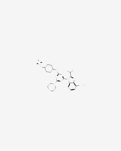 COc1cccc2c1nc(C(F)F)n2-c1nc(NC2CCC(NS(C)(=O)=O)CC2)nc(N2CCOCC2)n1